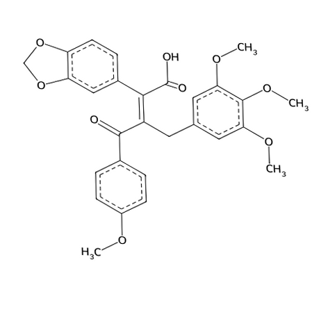 COc1ccc(C(=O)C(Cc2cc(OC)c(OC)c(OC)c2)=C(C(=O)O)c2ccc3c(c2)OCO3)cc1